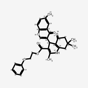 CC1=C(C(=O)OCCOc2ccccc2)C(c2coc3ccc(C)cc3c2=O)C2=C(CC(C)(C)CC2=O)N1